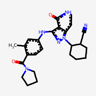 Cc1cc(Nc2nn(C3CCCCC3C#N)c3cc[nH]c(=O)c23)ccc1C(=O)N1CCCC1